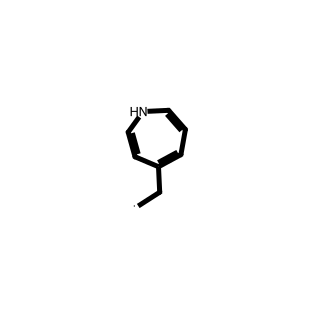 [CH2]CC1=CC=CNC=C1